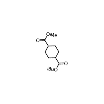 COC(=O)C1CCC(C(=O)OCC(C)C)CC1